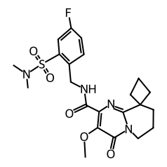 COc1c(C(=O)NCc2ccc(F)cc2S(=O)(=O)N(C)C)nc2n(c1=O)CCCC21CCC1